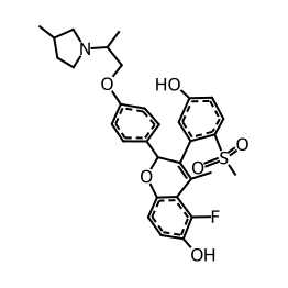 CC1=C(c2cc(O)ccc2S(C)(=O)=O)C(c2ccc(OCC(C)N3CCC(C)C3)cc2)Oc2ccc(O)c(F)c21